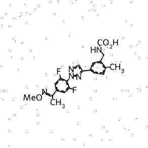 CO/N=C(\C)c1cc(F)c(-n2ncc(-c3ccc(C)c(CNC(=O)O)c3)n2)c(F)c1